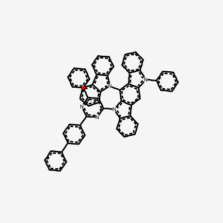 c1ccc(-c2ccc(-c3nc(-c4ccccc4)nc(-n4c5ccccc5c5cc6c(c(-n7c8ccccc8c8ccccc87)c54)c4ccccc4n6-c4ccccc4)n3)cc2)cc1